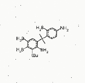 Bc1cc(N)ccc1C(C)(C)c1cc(B)c(B)c(C(C)(C)C)c1B